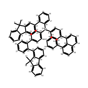 CC1(C)c2ccccc2-c2ccc(-c3ccccc3N(c3ccc(-c4ccccc4-c4cccc5c4C(C)(C)c4ccccc4-5)cc3)c3ccc(-c4cccc5cccc(-c6ccccc6)c45)cc3)cc21